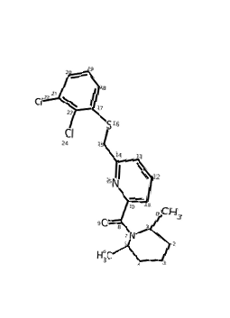 CC1CCCC(C)N1C(=O)c1cccc(CSc2cccc(Cl)c2Cl)n1